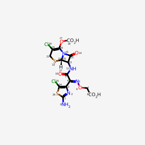 Nc1nc(C(=NOCC(=O)O)C(=O)NC2C(=O)N3C(OC(=O)O)=C(Cl)CS[C@@H]23)c(Cl)s1